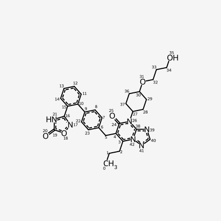 CCCc1c(Cc2ccc(-c3ccccc3-c3noc(=O)[nH]3)cc2)c(=O)n(C2CCC(OCCCO)CC2)c2ncnn12